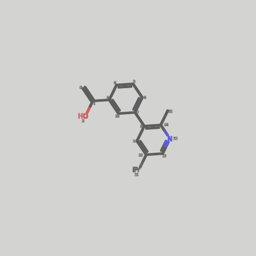 C=C(O)c1cccc(-c2cc(C(C)C)cnc2C)c1